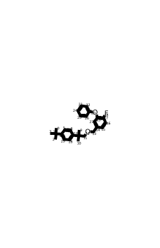 CC(C)(C)c1ccc(C(C)(C)COCc2ccc(F)c(Oc3ccccc3)c2)cc1